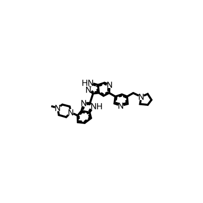 CN1CCN(c2cccc3[nH]c(-c4n[nH]c5cnc(-c6cncc(CN7CCCC7)c6)cc45)nc23)CC1